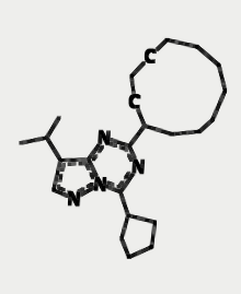 CC(C)c1cnn2c(C3CCCC3)nc(C3CCCCCCCCCC3)nc12